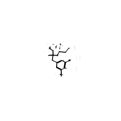 CCCC(CC(CCC)(Cc1cc(C(C)(C)C)c(O)c(C(C)(C)C)c1)C(=O)O)[N+](=O)[O-]